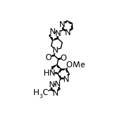 COc1cnc(-n2cnc(C)n2)c2[nH]cc(C(=O)C(=O)N3CCc4c(cnn4-c4ncccn4)C3)c12